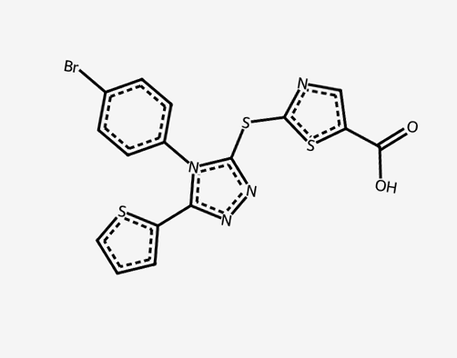 O=C(O)c1cnc(Sc2nnc(-c3cccs3)n2-c2ccc(Br)cc2)s1